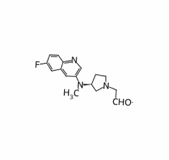 CN(c1cnc2ccc(F)cc2c1)[C@H]1CCN(C[C]=O)C1